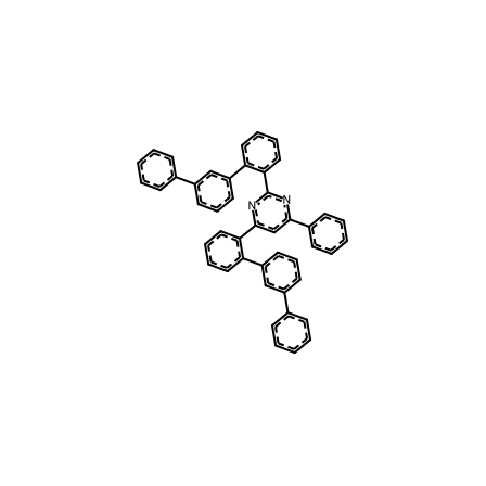 c1ccc(-c2cccc(-c3ccccc3-c3cc(-c4ccccc4)nc(-c4ccccc4-c4cccc(-c5ccccc5)c4)n3)c2)cc1